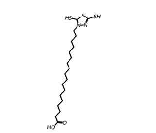 O=C(O)CCCCCCCCCCCCCCCCCN1N=C(S)SC1S